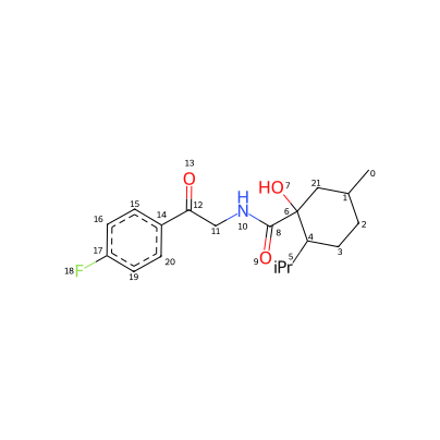 CC1CCC(C(C)C)C(O)(C(=O)NCC(=O)c2ccc(F)cc2)C1